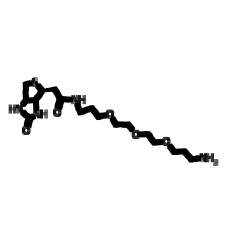 NCCCOCCOCCOCCCNC(=O)C[C@@H]1SCC2NC(=O)NC21